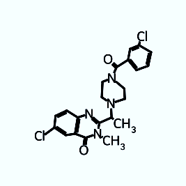 CC(c1nc2ccc(Cl)cc2c(=O)n1C)N1CCN(C(=O)c2cccc(Cl)c2)CC1